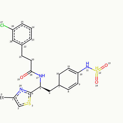 CCc1csc([C@H](CC2C=CC(N[SH](=O)=O)=CC2)NC(=O)CCc2cccc(Cl)c2)n1